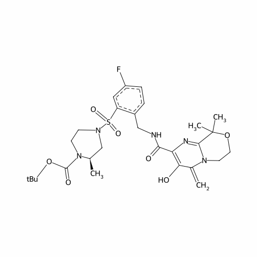 C=C1C(O)=C(C(=O)NCc2ccc(F)cc2S(=O)(=O)N2CCN(C(=O)OC(C)(C)C)[C@H](C)C2)N=C2N1CCOC2(C)C